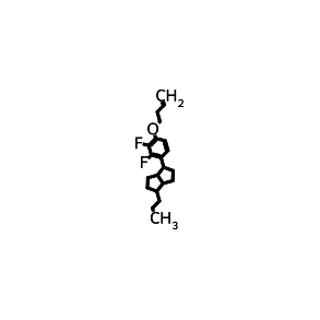 C=CCCOc1ccc(C2CCC3C(CCC)CCC23)c(F)c1F